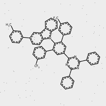 Cc1cccc(-c2ccc3c(c2)c2ccccc2n3-c2c(-c3cccc(C(F)(F)F)c3)cc(-c3nc(-c4ccccc4)nc(-c4ccccc4)n3)cc2-c2cccc(C(F)(F)F)c2)c1